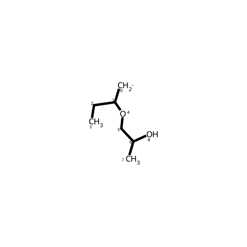 [CH2]C(CC)OCC(C)O